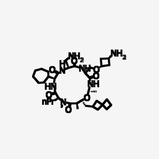 CCC[C@H]1C(=O)N[C@@H](C2CCCCCC2)C(=O)N[C@@H](CN)C(=O)N[C@@H](CO[C@H]2C[C@H](N)C2)C(=O)N[C@H](C)O[C@H](CC2CC3(CCC3)C2)[C@@H](C)C(=O)N1C